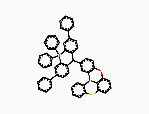 c1ccc(-c2ccc3c(c2)[Si](c2ccccc2)(c2ccccc2)c2cc(-c4ccccc4)ccc2C3c2ccc3c(c2)B2c4ccccc4Sc4cccc(c42)O3)cc1